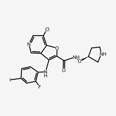 O=C(NO[C@H]1CCNC1)c1oc2c(Cl)cncc2c1Nc1ccc(I)cc1F